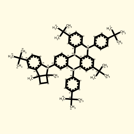 CC(C)(C)c1ccc(N2c3ccc(C(C)(C)C)cc3B3c4ccc(N5c6ccc(C(C)(C)C)cc6C6(C)CCC56C)cc4N(c4ccc(C(C)(C)C)cc4)c4cc(C(C)(C)C)cc2c43)cc1